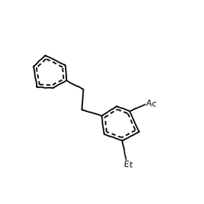 CCc1cc(CCc2ccccc2)cc(C(C)=O)c1